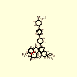 CCOC(=O)C1CCN(c2cnc(N3CCC(c4nc5c(c(C6CCC(F)(F)CC6)c4C(F)c4ccc(C(F)(F)F)cc4)[C@@H](O)CC(C)(C)C5)CC3)nc2)CC1